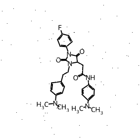 CN(C)c1ccc(CCN2C(=O)N(c3ccc(F)cc3)C(=O)C2CC(=O)Nc2ccc(N(C)C)cc2)cc1